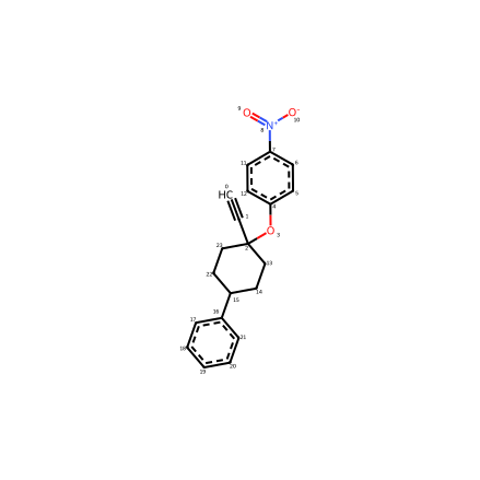 C#CC1(Oc2ccc([N+](=O)[O-])cc2)CCC(c2ccccc2)CC1